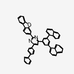 c1ccc(-c2ccc(-c3cc(-c4cc(-c5cccc6ccccc56)cc(-c5cccc6ccccc56)c4)nc(-c4ccc5c(c4)oc4ccccc45)n3)cc2)cc1